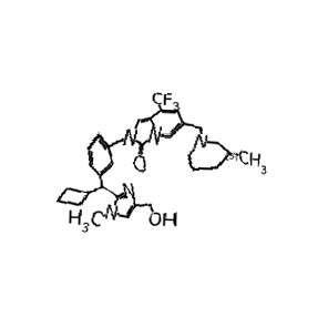 C[C@H]1CCCN(Cc2cc(C(F)(F)F)c3cn(-c4cccc(C(c5nc(CO)cn5C)C5CCC5)c4)c(=O)n3c2)C1